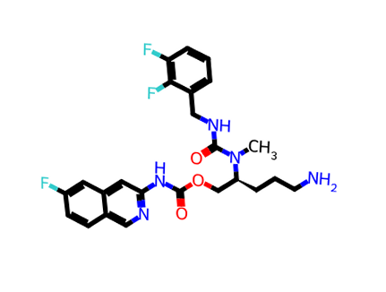 CN(C(=O)NCc1cccc(F)c1F)[C@@H](CCCN)COC(=O)Nc1cc2cc(F)ccc2cn1